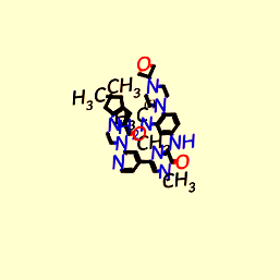 Cc1c(-c2cn(C)c(=O)c(Nc3ccc(N4CCN(C5COC5)C[C@@H]4C)c(N)c3)n2)ccnc1N1CCn2c(cc3c2CC(C)(C)C3)C1=O